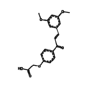 COc1cc(/C=C/C(=O)c2ccc(OCC(=O)O)cc2)cc(OC)c1